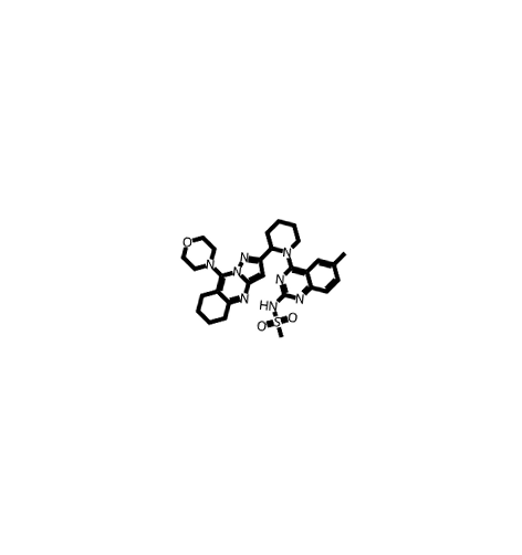 Cc1ccc2nc(NS(C)(=O)=O)nc(N3CCCCC3c3cc4nc5c(c(N6CCOCC6)n4n3)CCCC5)c2c1